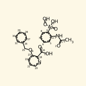 CC(=O)Nc1ccccc1[As](=O)(O)OO.O=C(O)c1ncccc1OCc1ccccc1